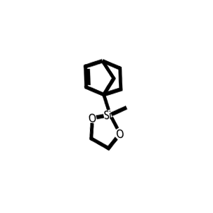 C[Si]1(C23C=CC(CC2)C3)OCCO1